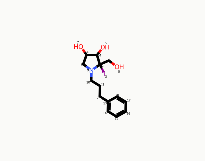 OCC1(I)C(O)C(O)CN1CCCc1ccccc1